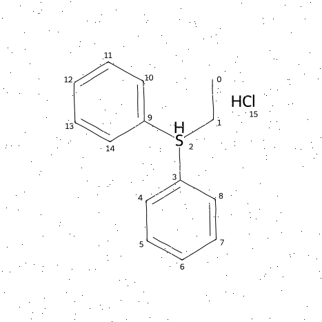 CC[SH](c1ccccc1)c1ccccc1.Cl